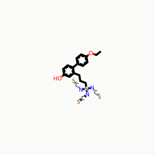 CCOc1ccc(-c2ccc(O)cc2CCC[Si](N=C=S)(N=C=S)N=C=S)cc1